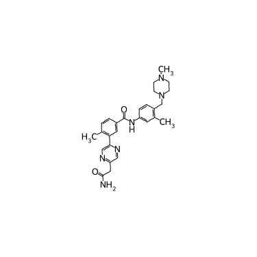 Cc1cc(NC(=O)c2ccc(C)c(-c3cnc(CC(N)=O)cn3)c2)ccc1CN1CCN(C)CC1